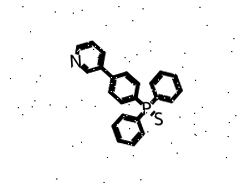 S=P(c1ccccc1)(c1ccccc1)c1ccc(-c2cccnc2)cc1